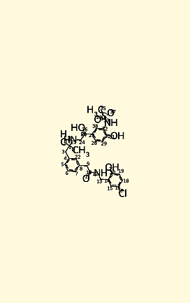 CC(C)(Cc1cccc(CC(=O)NCc2cc(Cl)ccc2O)c1)NC[C@H](O)c1ccc(O)c(NS(C)(=O)=O)c1